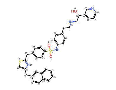 O=S(=O)(Nc1ccc(CCNC[C@H](O)c2cccnc2)cc1)c1ccc(Cc2nc(Cc3ccc4ccccc4c3)cs2)cc1